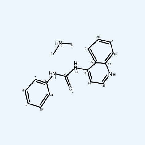 CNC.O=C(Nc1ccccc1)Nc1ccnc2ccccc12